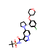 CC(C)(C)S(=O)(=O)NC(=O)c1cnn2ccc(N3CCC[C@@H]3c3cc(F)ccc3OC3CCOCC3)cc12